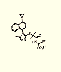 Cc1cnc(SC(C)(C)C(=O)NC(C(=O)O)C(C)C)n1-c1ccc(C2CC2)c2ccccc12